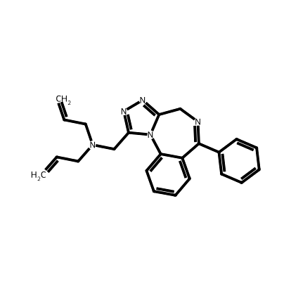 C=CCN(CC=C)Cc1nnc2n1-c1ccccc1C(c1ccccc1)=NC2